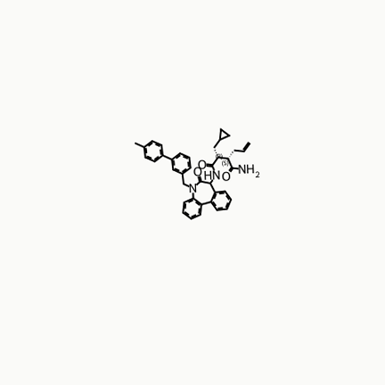 C=CC[C@H](C(N)=O)[C@@H](CC1CC1)C(=O)NC1C(=O)N(Cc2cccc(-c3ccc(C)cc3)c2)c2ccccc2-c2ccccc21